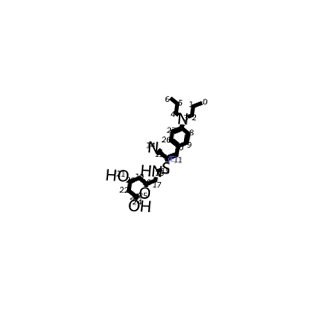 CCCN(CCC)c1ccc(/C=C(\C#N)SNCC2CC(O)CC(O)O2)cc1